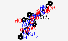 C[C@H](NC(=O)[C@H](Cc1ccccc1)NC(=O)[C@H](Cc1ccccc1)NC(=O)[C@H](Cc1ccc(O)cc1)NC(=O)[C@H](CO)NC(=O)CNC(=O)[C@H](Cc1ccccc1)NC(=O)CN)C(=O)NCC(=O)N[C@@H](Cc1ccccc1)C(=O)O